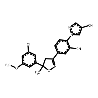 N#Cc1cnn(-c2ccc(C3=NOC(c4cc(Cl)cc(OC(F)(F)F)c4)(C(F)(F)F)C3)cc2C#N)c1